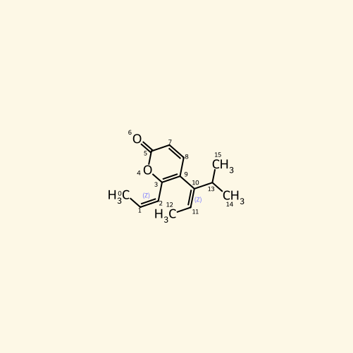 C/C=C\c1oc(=O)ccc1/C(=C\C)C(C)C